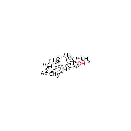 C=C[C@@]1(O)CC[C@@]2(C)[C@H](CC[C@H]3[C@@H]4CC[C@H](C(C)=O)[C@@]4(C)C=C[C@@H]32)C1